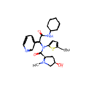 CC(C)(C)c1ccc(N(C(=O)[C@H]2C[C@@H](O)CN2C#N)C(C(=O)NC2CCCCC2)c2cccnc2)s1